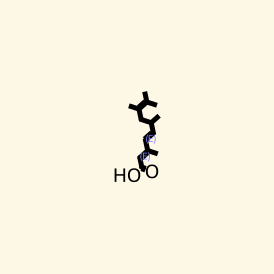 CC(C)=C(C)CC(C)/C=C/C(C)=C/C(=O)O